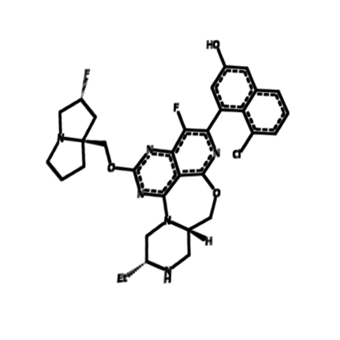 CC[C@@H]1CN2c3nc(OC[C@@]45CCCN4C[C@H](F)C5)nc4c(F)c(-c5cc(O)cc6cccc(Cl)c56)nc(c34)OC[C@@H]2CN1